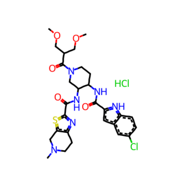 COCC(COC)C(=O)N1CCC(NC(=O)c2cc3cc(Cl)ccc3[nH]2)C(NC(=O)c2nc3c(s2)CN(C)CC3)C1.Cl